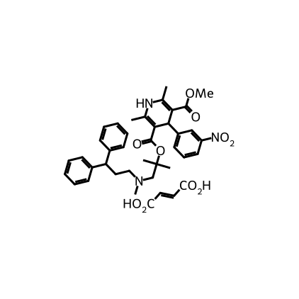 COC(=O)C1=C(C)NC(C)=C(C(=O)OC(C)(C)CN(C)CCC(c2ccccc2)c2ccccc2)C1c1cccc([N+](=O)[O-])c1.O=C(O)C=CC(=O)O